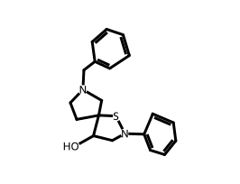 OC1CN(c2ccccc2)SC12CCN(Cc1ccccc1)C2